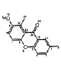 Cc1ccc2oc3ccc(O)c(C)c3c(=O)c2c1